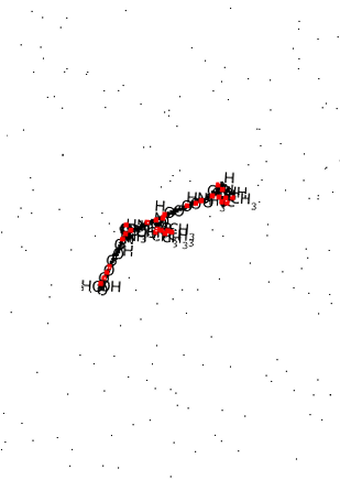 CC(C)C(=O)[C@H](C)NC(=O)[C@@H](NC(=O)[C@@H](CCCCNC(=O)COC1CCCCCC2=C1NNN2CCOCCOCCOCCOCCOCCP(=O)(O)O)NC(=O)CCOCCOCCOCCOCCNC(=O)CCC(=O)N1Cc2ccccc2C2=C(NNN2C(C)C)c2ccccc21)C(C)C